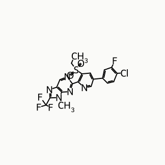 CCS(=O)(=O)c1cc(-c2ccc(Cl)c(F)c2)cnc1-c1ncc2nc(C(F)(F)F)n(C)c2n1